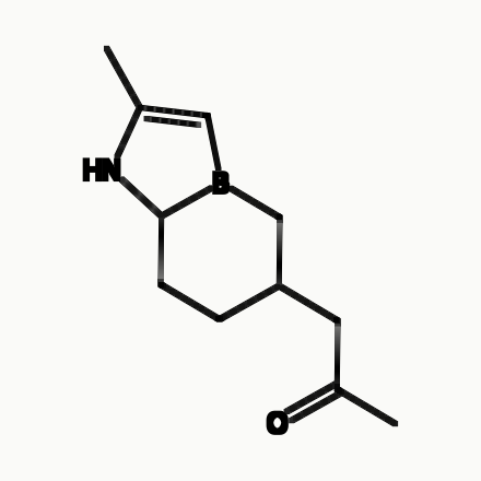 CC(=O)CC1CCC2NC(C)=CB2C1